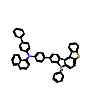 c1ccc(-c2ccc(N(c3ccc(-c4ccc5c(c4)[SiH](c4ccccc4)c4ccc6sc7ccccc7c6c4-5)cc3)c3cccc4ccccc34)cc2)cc1